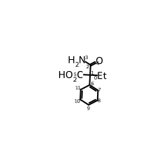 CCC(C(N)=O)(C(=O)O)c1ccccc1